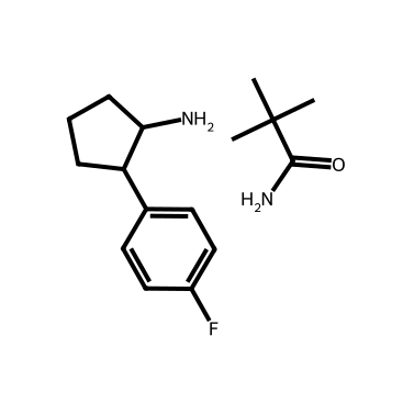 CC(C)(C)C(N)=O.NC1CCCC1c1ccc(F)cc1